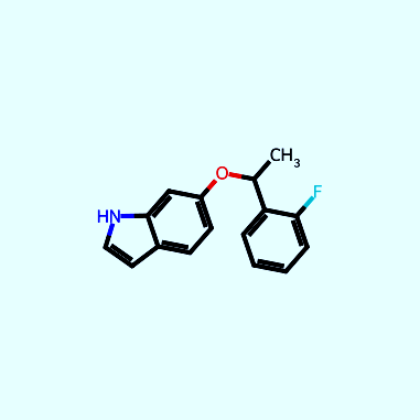 CC(Oc1ccc2cc[nH]c2c1)c1ccccc1F